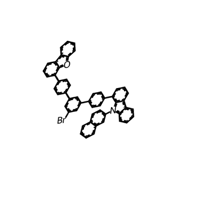 Brc1cc(-c2ccc(-c3cccc4c3oc3ccccc34)cc2)cc(-c2ccc(-c3cccc4c5ccccc5n(-c5ccc6ccccc6c5)c34)cc2)c1